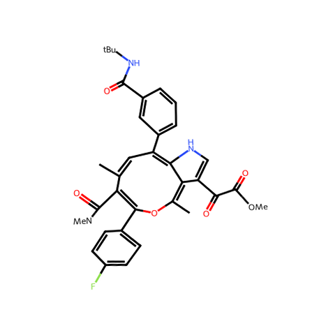 CNC(=O)c1c(C)cc(-c2cccc(C(=O)NC(C)(C)C)c2)c2[nH]cc(C(=O)C(=O)OC)c2c(C)oc1-c1ccc(F)cc1